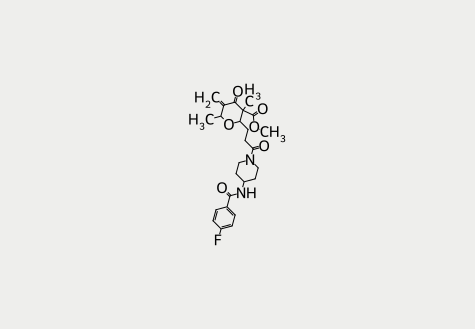 C=C1C(=O)C(C)(C(=O)OC)C(CCC(=O)N2CCC(NC(=O)c3ccc(F)cc3)CC2)OC1C